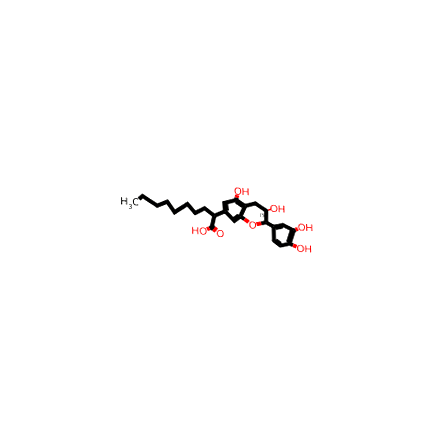 CCCCCCCCC(C(=O)O)c1cc(O)c2c(c1)OC(c1ccc(O)c(O)c1)[C@@H](O)C2